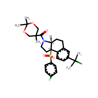 CC1(C)OCC(C)(C(=O)N2CC[C@@]3(S(=O)(=O)c4ccc(F)cc4)c4ccc(C(F)(C(F)(F)F)C(F)(F)F)cc4CC[C@@H]23)CO1